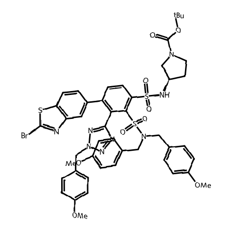 COc1ccc(CN(Cc2ccc(OC)cc2)S(=O)(=O)c2c(S(=O)(=O)N[C@@H]3CCN(C(=O)OC(C)(C)C)C3)ccc(-c3ccc4sc(Br)nc4c3)c2-c2nnn(Cc3ccc(OC)cc3)n2)cc1